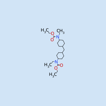 CCOC(=O)N(CC)C1CCC(CC2CCC(N(CC)C(=O)OCC)CC2)CC1